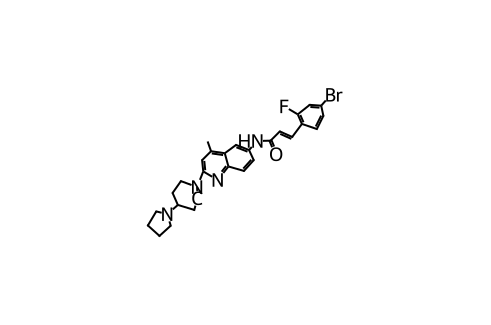 Cc1cc(N2CCC(N3CCCC3)CC2)nc2ccc(NC(=O)C=Cc3ccc(Br)cc3F)cc12